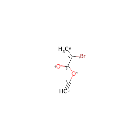 C#COC(=O)C(C)Br